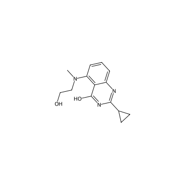 CN(CCO)c1cccc2nc(C3CC3)nc(O)c12